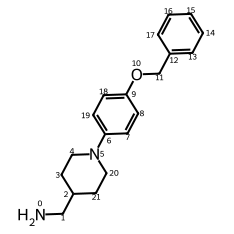 NCC1CCN(c2ccc(OCc3ccccc3)cc2)CC1